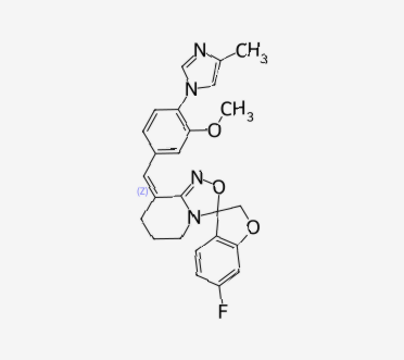 COc1cc(/C=C2/CCCN3C2=NOC32COc3cc(F)ccc32)ccc1-n1cnc(C)c1